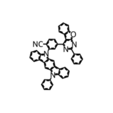 N#Cc1ccc(-c2nc(-c3ccccc3)nc3oc4ccccc4c23)cc1-n1c2ccccc2c2cc3c(cc21)c1ccccc1n3-c1ccccc1